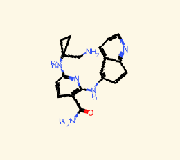 NCC1(Nc2ccc(C(N)=O)c(Nc3ccc4ncccc4c3)n2)CC1